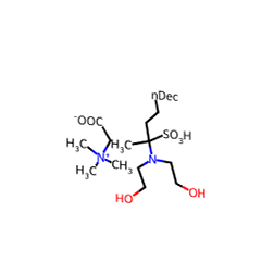 CCCCCCCCCCCCC(C)(N(CCO)CCO)S(=O)(=O)O.C[N+](C)(C)CC(=O)[O-]